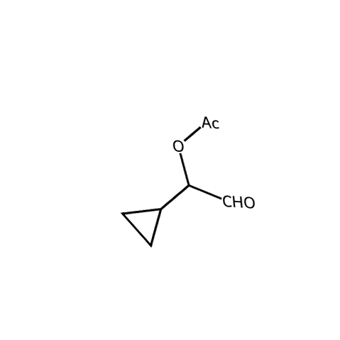 CC(=O)OC(C=O)C1CC1